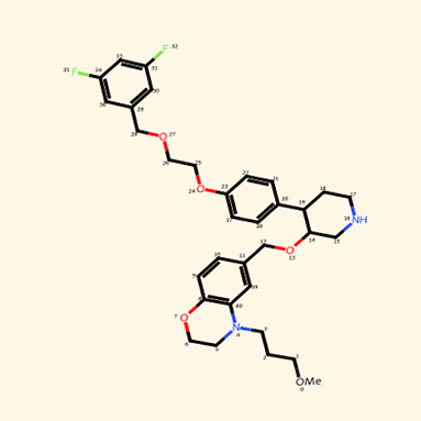 COCCCN1CCOc2ccc(COC3CNCCC3c3ccc(OCCOCc4cc(F)cc(F)c4)cc3)cc21